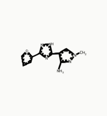 Cn1cc(-c2nc(-c3ccco3)n[nH]2)c(N)n1